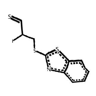 S=CC(I)CSc1nc2ccccc2s1